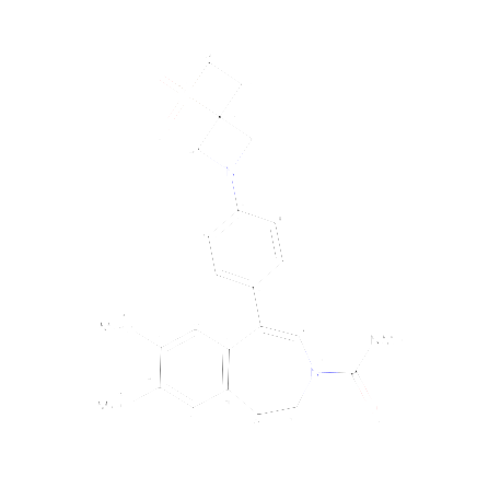 CNC(=O)N1C=C(c2ccc(N3CC4(CCS4(=O)=O)C3)cc2)c2cc(OC)c(OC)cc2C[C@H]1C